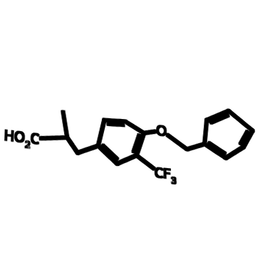 CC(Cc1ccc(OCc2ccccc2)c(C(F)(F)F)c1)C(=O)O